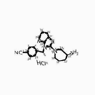 Cl.N#Cc1ccc(Cn2c(N3CCC[C@H](N)C3)nc3cccnc32)cc1